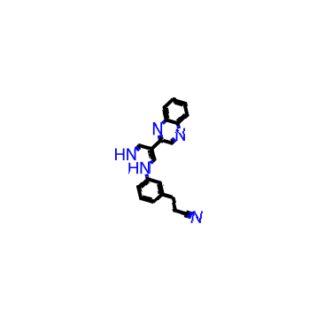 N#CCCc1cccc(N/C=C(\C=N)c2cnc3ccccc3n2)c1